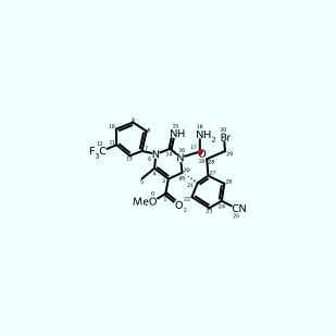 COC(=O)C1=C(C)N(c2cccc(C(F)(F)F)c2)C(=N)N(C(N)=O)[C@@H]1c1ccc(C#N)cc1CCBr